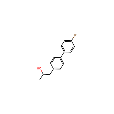 CC(O)Cc1ccc(-c2ccc(Br)cc2)cc1